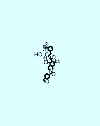 CCc1cc2c(c(Cl)c1C(=O)N[C@@H](Cc1cccc(S(C)(=O)=O)c1)C(=O)O)CCN(C(=O)c1ccc3ccoc3c1)C2